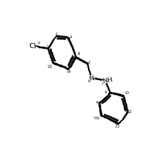 Clc1ccc(C[N]Nc2ccccc2)cc1